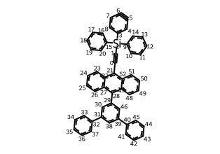 C(#C[Si](c1cc#ccc1)(c1ccccc1)c1ccccc1)c1c2ccccc2c(-c2cc(-c3ccccc3)cc(-c3ccccc3)c2)c2ccccc12